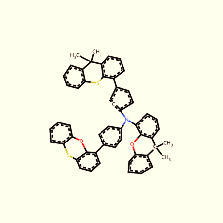 CC1(C)c2ccccc2Sc2c(-c3ccc(N(c4ccc(-c5cccc6c5Oc5ccccc5S6)cc4)c4cccc5c4Oc4ccccc4[Si]5(C)C)cc3)cccc21